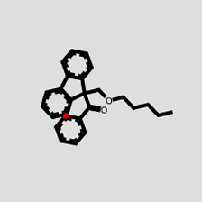 CCCCCOCC1(C(=O)c2ccccc2)c2ccccc2-c2ccccc21